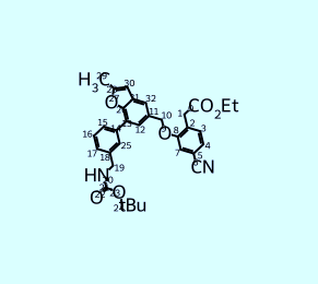 CCOC(=O)Cc1ccc(C#N)cc1OCc1cc(-c2cccc(CNC(=O)OC(C)(C)C)c2)c2oc(C)cc2c1